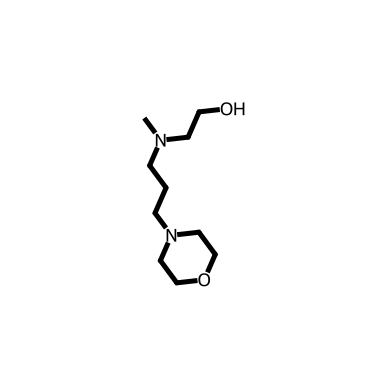 CN(CCO)CCCN1CCOCC1